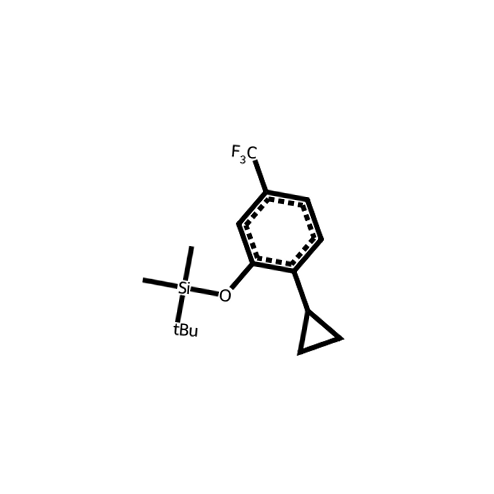 CC(C)(C)[Si](C)(C)Oc1cc(C(F)(F)F)ccc1C1CC1